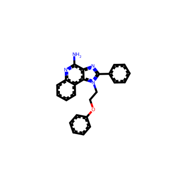 Nc1nc2ccccc2c2c1nc(-c1ccccc1)n2CCOc1ccccc1